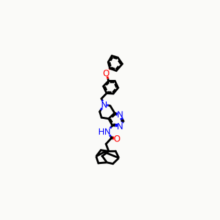 O=C(CC12CC3CC(CC(C3)C1)C2)Nc1ncnc2c1CCN(Cc1cccc(Oc3ccccc3)c1)C2